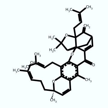 C=C1C2C=C3C(=O)c4c(C)c5c(c(CC=C(C)C)c4OC34C(C2)C(C)(C)OC14CC=C(C)C)O[C@](C)(CCC=C(C)C)C=C5